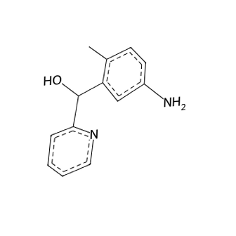 Cc1ccc(N)cc1C(O)c1ccccn1